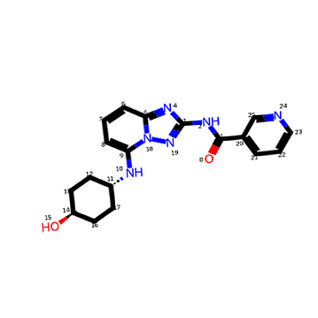 O=C(Nc1nc2cccc(N[C@H]3CC[C@H](O)CC3)n2n1)c1cccnc1